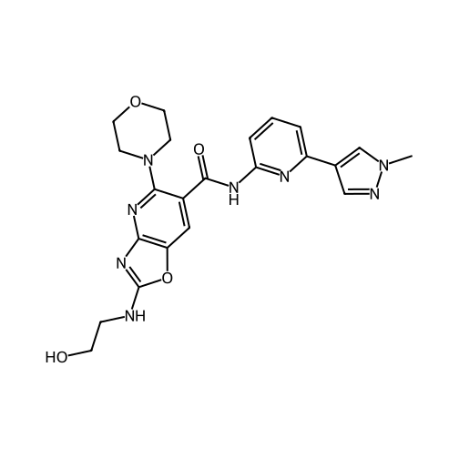 Cn1cc(-c2cccc(NC(=O)c3cc4oc(NCCO)nc4nc3N3CCOCC3)n2)cn1